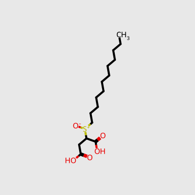 CCCCCCCCCCCC[S+]([O-])C(CC(=O)O)C(=O)O